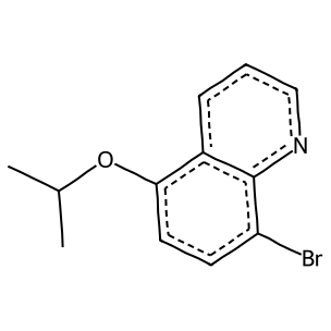 CC(C)Oc1ccc(Br)c2ncccc12